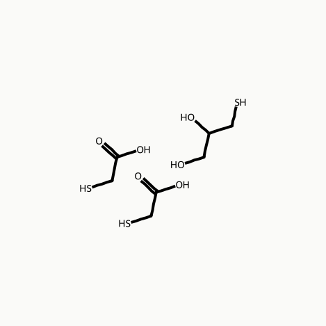 O=C(O)CS.O=C(O)CS.OCC(O)CS